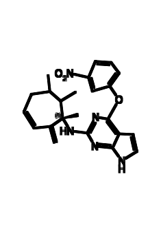 C=C1C=CCC(C)C(C)[C@]1(C)Nc1nc(Oc2cccc([N+](=O)[O-])c2)c2cc[nH]c2n1